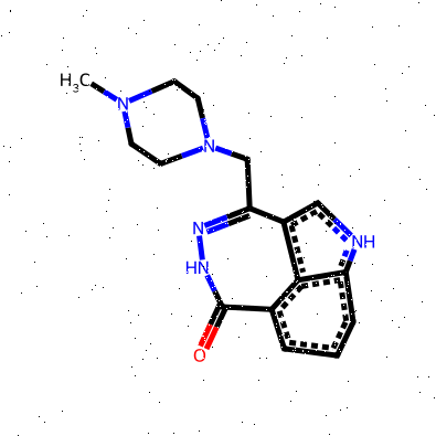 CN1CCN(CC2=NNC(=O)c3cccc4[nH]cc2c34)CC1